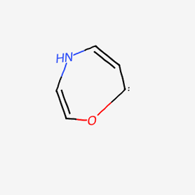 [C]1C=CNC=CO1